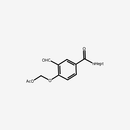 CCCCCCCC(=O)c1ccc(OCOC(C)=O)c(C=O)c1